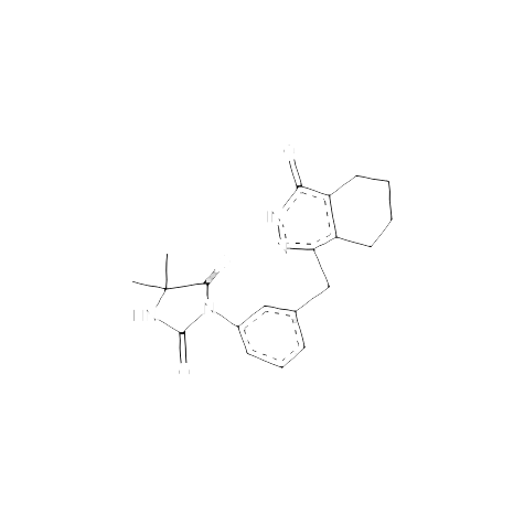 CC1(C)NC(=O)N(c2cccc(Cc3n[nH]c(=O)c4c3CCCC4)c2)C1=O